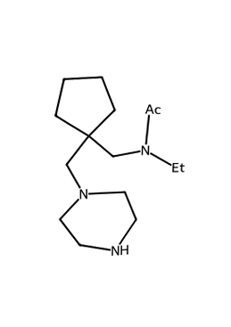 CCN(CC1(CN2CCNCC2)CCCC1)C(C)=O